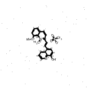 COc1cccc2ccc(C=Cc3ccc(O)c4ncccc34)[n+](C)c12.O=S(=O)([O-])C(F)(F)F